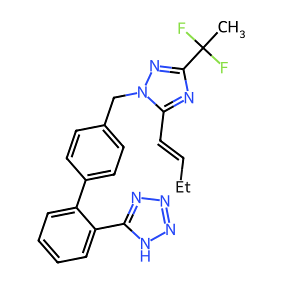 CC/C=C/c1nc(C(C)(F)F)nn1Cc1ccc(-c2ccccc2-c2nnn[nH]2)cc1